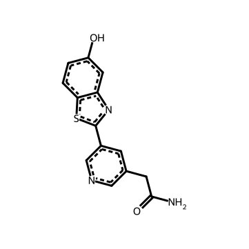 NC(=O)Cc1cncc(-c2nc3cc(O)ccc3s2)c1